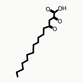 CCCCCCCCCCCCC(=O)CC(=O)C(=O)O